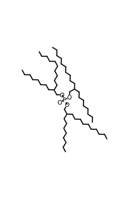 CCCCCCCCCCC(CCCCCCCC)COP(=O)(OCC(CCCCCCCC)CCCCCCCCCC)OCC(CCCCCCCC)CCCCCCCCCC